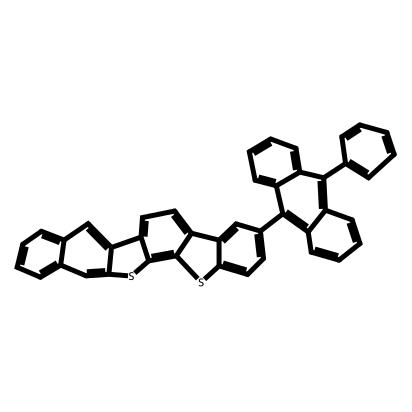 c1ccc(-c2c3ccccc3c(-c3ccc4sc5c(ccc6c7cc8ccccc8cc7sc65)c4c3)c3ccccc23)cc1